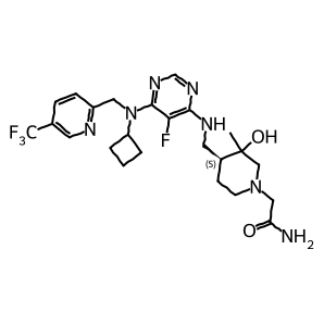 CC1(O)CN(CC(N)=O)CC[C@H]1CNc1ncnc(N(Cc2ccc(C(F)(F)F)cn2)C2CCC2)c1F